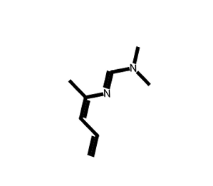 C=C/C=C(C)\N=C\N(C)C